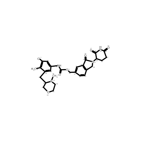 Cc1c(Cl)cc(NC(=O)OCc2ccc3c(c2)C(=O)N(C2CCC(=O)NC2=O)C3)cc1CC1COCCN1C